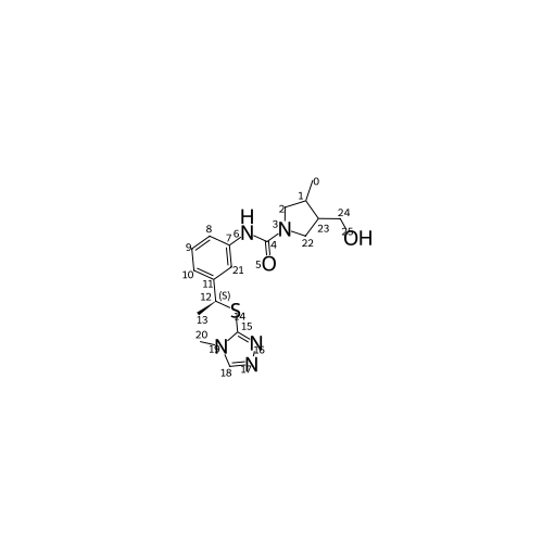 CC1CN(C(=O)Nc2cccc([C@H](C)Sc3nncn3C)c2)CC1CO